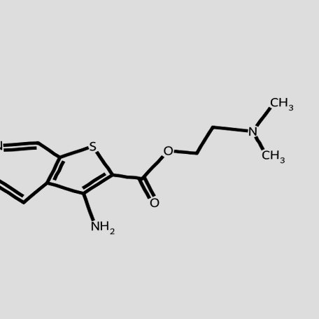 CN(C)CCOC(=O)c1sc2cnccc2c1N